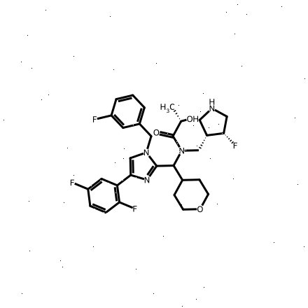 C[C@H](O)C(=O)N(C[C@@H]1CNC[C@@H]1F)C(c1nc(-c2cc(F)ccc2F)cn1Cc1cccc(F)c1)C1CCOCC1